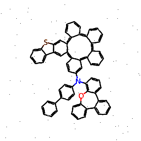 c1ccc(-c2ccc(N(c3ccc4c(c3)c3ccccc3c3ccccc3c3ccccc3c3cc5sc6ccccc6c5cc43)c3cccc4c3Oc3ccccc3-c3ccccc3-4)cc2)cc1